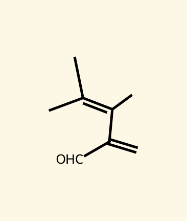 C=C(C=O)C(C)=C(C)C